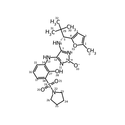 Cc1ccc([C@H](Nc2n[s+]([O-])nc2Nc2cccc(S(=O)(=O)N3CCCC3)c2O)C(C)(C)C)o1